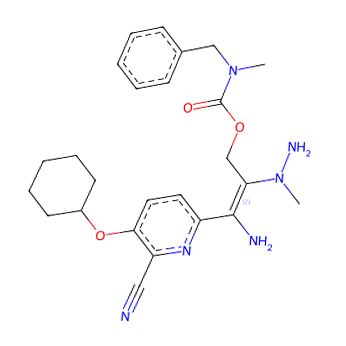 CN(Cc1ccccc1)C(=O)OC/C(=C(/N)c1ccc(OC2CCCCC2)c(C#N)n1)N(C)N